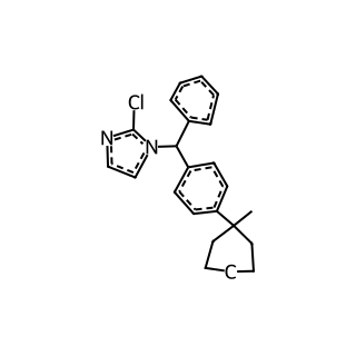 CC1(c2ccc(C(c3ccccc3)n3ccnc3Cl)cc2)CCCCC1